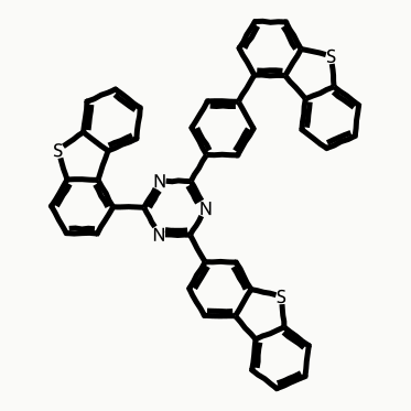 c1ccc2c(c1)sc1cc(-c3nc(-c4ccc(-c5cccc6sc7ccccc7c56)cc4)nc(-c4cccc5sc6ccccc6c45)n3)ccc12